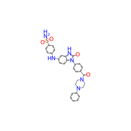 NS(=O)(=O)c1ccc(Nc2ccc3c(c2)[nH]c(=O)n3-c2ccc(C(=O)N3CCN(c4ccccc4)CC3)cc2)cc1